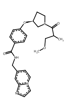 COCC(C)C(=O)N1CC[C@H](Oc2ccc(C(=O)NCc3ccn4ccnc4c3)cc2)C1